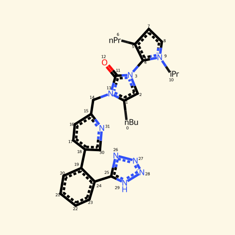 CCCCc1cn(-c2c(CCC)ccn2C(C)C)c(=O)n1Cc1ccc(-c2ccccc2-c2nnn[nH]2)cn1